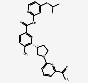 Cc1ccc(C(=O)Nc2cc(OC(F)F)ccn2)cc1[C@@H]1CCN(c2cncc(C(N)=O)n2)C1